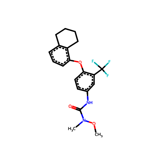 CON(C)C(=O)Nc1ccc(Oc2cccc3c2CCCC3)c(C(F)(F)F)c1